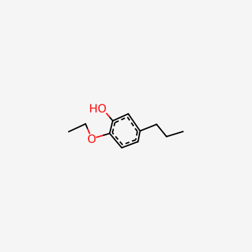 CCCc1ccc(OCC)c(O)c1